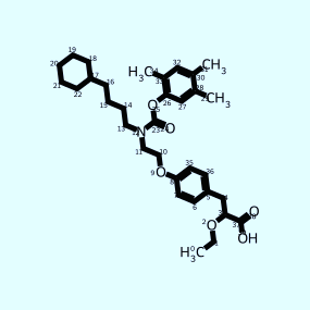 CCOC(Cc1ccc(OCCN(CCCCC2CCCCC2)C(=O)Oc2cc(C)c(C)cc2C)cc1)C(=O)O